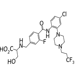 O=C(Nc1ccc(Cl)cc1N1CCN(CCC(F)(F)F)CC1)c1ccc(CNC(CO)C(=O)O)cc1F